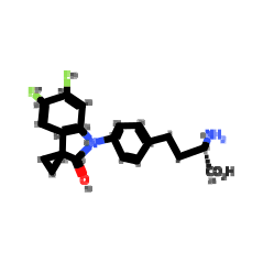 N[C@@H](CCc1ccc(N2C(=O)C3(CC3)c3cc(F)c(F)cc32)cc1)C(=O)O